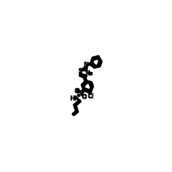 CCCCNS(=O)(=O)c1cc(-c2csc(=Nc3ccccc3)n2C)ccc1Cl